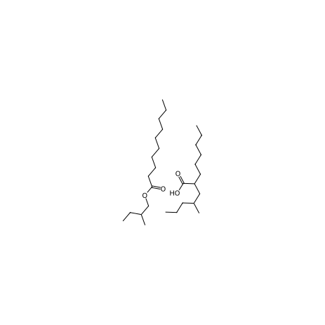 CCCCCCC(CC(C)CCC)C(=O)O.CCCCCCCCCC(=O)OCC(C)CC